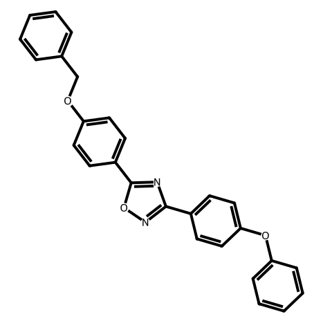 c1ccc(COc2ccc(-c3nc(-c4ccc(Oc5ccccc5)cc4)no3)cc2)cc1